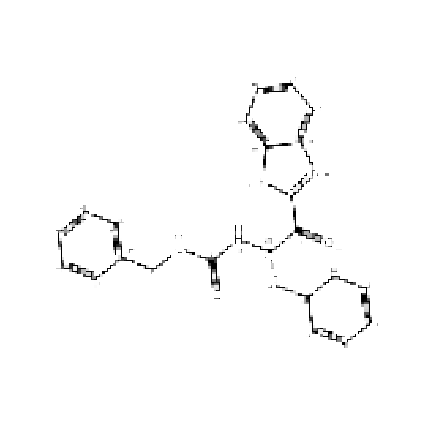 O=C(N[C@@H](CC1C=CC=CC1)C(=O)c1nc2ccccc2s1)OCc1ccccc1